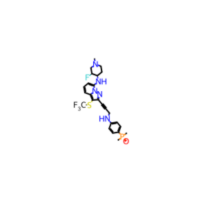 CN1CC[C@@H](Nc2cccc3c(SC(F)(F)F)c(C#CCNc4ccc(P(C)(C)=O)cc4)nn23)[C@@H](F)C1